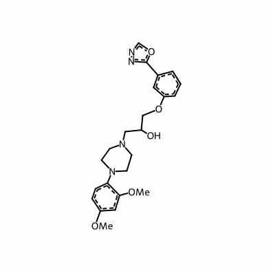 COc1ccc(N2CCN(CC(O)COc3cccc(-c4nnco4)c3)CC2)c(OC)c1